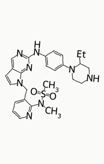 CCC1CNCCN1c1ccc(Nc2ncc3ccn(Cc4cccnc4N(C)S(C)(=O)=O)c3n2)cc1